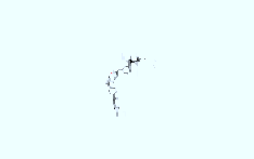 CC(C)CNC(=O)Nc1ccc(C(=O)N2CCN(Cc3cccc(C(=O)NC(C)(C)C(F)(F)F)c3)CC2)cc1